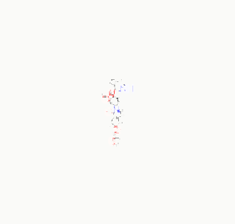 COC1=C(OC2CNCCC3CCC32)C=CC(n2ccc3c(c2=O)=CCC(OCC2CCCO2)C=3)C1